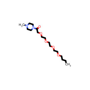 CCCCOCCOCCOCCOCC(=O)N1CCN(C)CC1